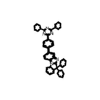 c1ccc(-c2nc(-c3ccccc3)nc(-c3ccc(-c4ccc5c(c4)nc4n5-c5ccccc5C4(c4ccccc4)c4ccccc4)cc3)n2)cc1